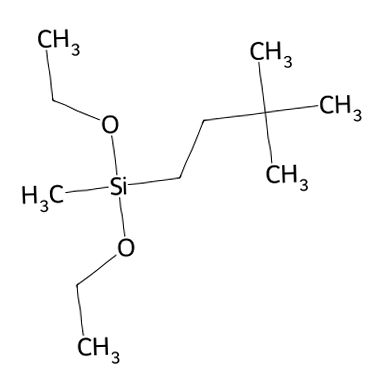 CCO[Si](C)(CCC(C)(C)C)OCC